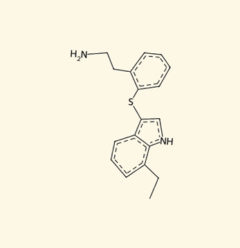 CCc1cccc2c(Sc3ccccc3CCN)c[nH]c12